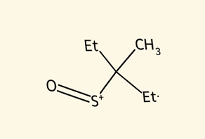 C[CH]C(C)(CC)[S+]=O